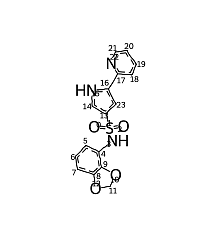 O=S(=O)(Nc1cccc2c1OCO2)c1c[nH]c(-c2ccccn2)c1